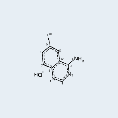 Cl.Nc1ncnc2ccc(I)cc12